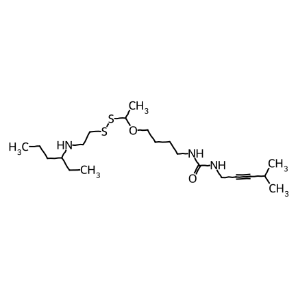 CCCC(CC)NCCSSC(C)OCCCCNC(=O)NCC#CC(C)C